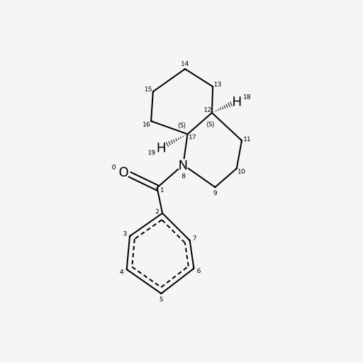 O=C(c1ccccc1)N1CCC[C@@H]2CCCC[C@@H]21